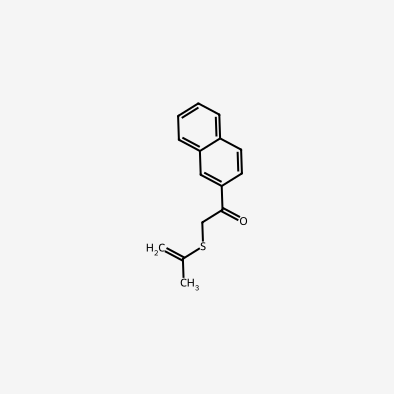 C=C(C)SCC(=O)c1ccc2ccccc2c1